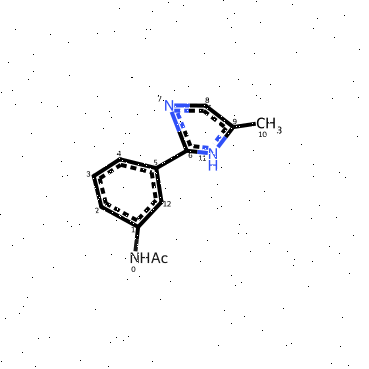 CC(=O)Nc1cccc(-c2n[c]c(C)[nH]2)c1